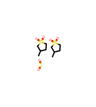 CC1CCS(=O)(=O)C1.CC1CCS(=O)(=O)C1.O=S=O